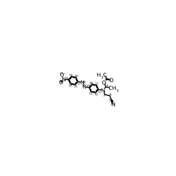 CC(=O)OC(C)N(CCC#N)c1ccc(/N=N/c2ccc([N+](=O)[O-])cc2)cc1